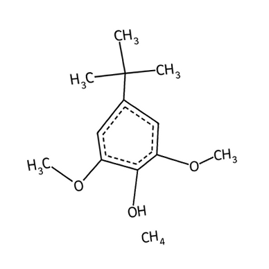 C.COc1cc(C(C)(C)C)cc(OC)c1O